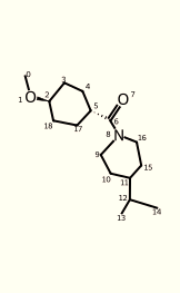 CO[C@H]1CC[C@H](C(=O)N2CCC(C(C)C)CC2)CC1